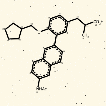 CC(=O)Nc1ccc2cc(-c3cc(CC(C)C(=O)O)ccc3OCC3CCCC3)ccc2c1